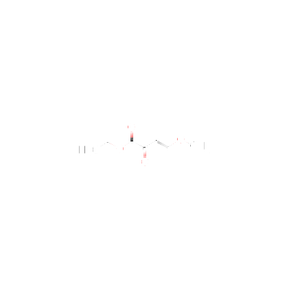 CCOC(=O)C(=O)/C=C/OC